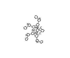 N#Cc1c(-n2c3ccc(-c4ccnc(-c5ccccc5)c4)cc3c3cc(-c4ccnc(-c5ccccc5)c4)ccc32)cc(-c2c(C(F)(F)F)cccc2C(F)(F)F)cc1-n1c2ccc(-c3ccnc(-c4ccccc4)c3)cc2c2cc(-c3ccnc(-c4ccccc4)c3)ccc21